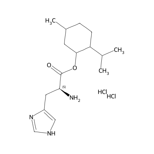 CC1CCC(C(C)C)C(OC(=O)[C@@H](N)Cc2c[nH]cn2)C1.Cl.Cl